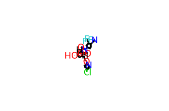 CC12OC(CCOc3ccc(Cl)cn3)(C[C@@H]1O)[C@H]1C(=O)N(c3ccc(C#N)c(C(F)(F)F)c3)C(=O)[C@H]12